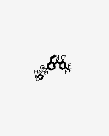 COc1cc(C(F)(F)F)ccc1-c1nccc2cc(S(=O)(=O)Nc3ccon3)ccc12